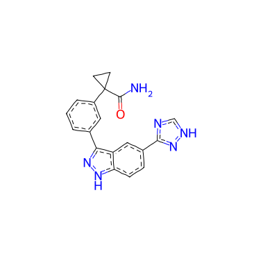 NC(=O)C1(c2cccc(-c3n[nH]c4ccc(-c5nc[nH]n5)cc34)c2)CC1